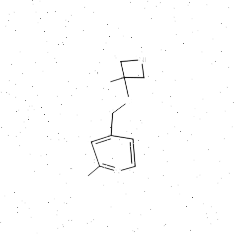 Cc1cc(COC2(C)CNC2)ccn1